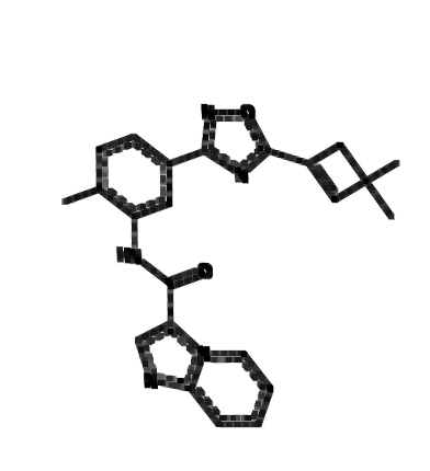 Cc1ccc(-c2noc(C3=CC(C)(C)C3)n2)cc1NC(=O)c1cnc2ccccn12